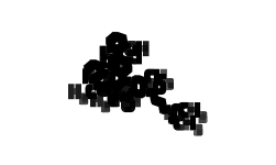 CCN(CC)C/C=C/C(=O)N1C[C@@H]2C(=O)N(C)c3c(c4cc(Cl)c(-c5c(O)cccc5F)nc4n(-c4c(C)ccnc4C(C)C)c3=O)N2C[C@H]1C